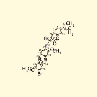 CCN(CC)c1ccc2cc(C(=O)/C=C/c3cc4c(cc3OC)N3Cc5cc(Br)c(OC)cc5N(C4)C3)c(=O)oc2c1